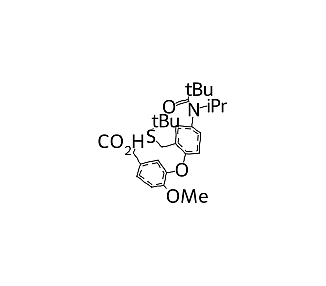 COc1ccc(CC(=O)O)cc1Oc1ccc(N(C(=O)C(C)(C)C)C(C)C)cc1CSC(C)(C)C